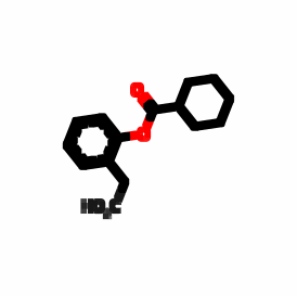 O=C(O)Cc1ccccc1OC(=O)C1CCCCC1